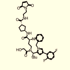 CC(C)(C)[C@H](c1cc(-c2cc(F)ccc2F)cn1Cc1ccccc1)N(CC[C@H](N)C(=O)N[C@H]1CC[C@H](C(=O)NCCN2C(=O)C=CC2=O)C1)C(=O)CO